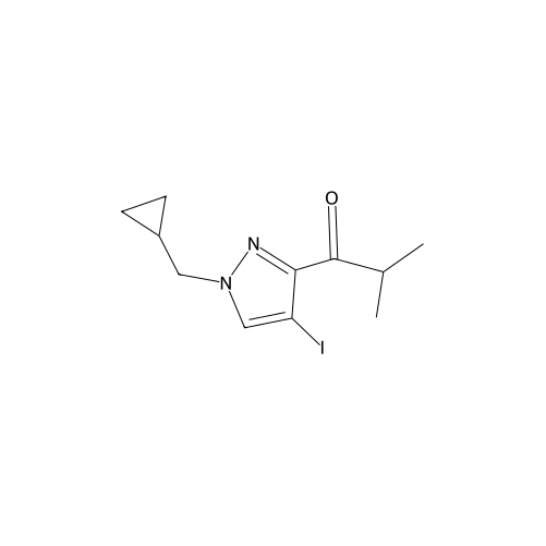 CC(C)C(=O)c1nn(CC2CC2)cc1I